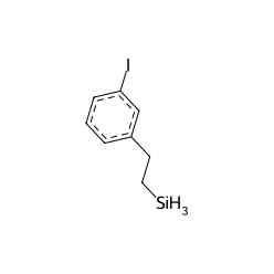 [SiH3]CCc1cccc(I)c1